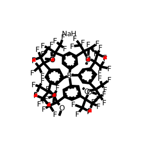 COC(c1cc([B-](c2cc(C(OC)(C(F)(F)F)C(F)(F)F)cc(C(OC)(C(F)(F)F)C(F)(F)F)c2)(c2cc(C(OC)(C(F)(F)F)C(F)(F)F)cc(C(OC)(C(F)(F)F)C(F)(F)F)c2)c2cc(C(OC)(C(F)(F)F)C(F)(F)F)cc(C(OC)(C(F)(F)F)C(F)(F)F)c2)cc(C(OC)(C(F)(F)F)C(F)(F)F)c1)(C(F)(F)F)C(F)(F)F.[NaH]